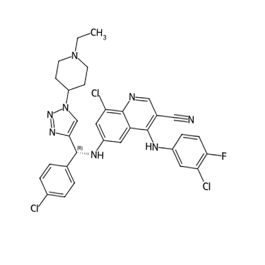 CCN1CCC(n2cc([C@H](Nc3cc(Cl)c4ncc(C#N)c(Nc5ccc(F)c(Cl)c5)c4c3)c3ccc(Cl)cc3)nn2)CC1